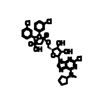 CN(c1nc(Cl)nc2c1ncn2[C@@H]1O[C@H](COP(=O)(CP(=O)(O)Oc2cccc(Cl)c2)Oc2cccc(Cl)c2)[C@@H](O)[C@H]1O)C1CCCC1